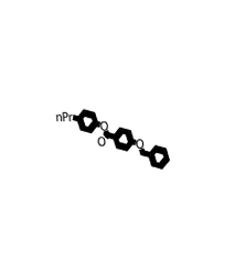 CCCc1ccc(OC(=O)c2ccc(OCc3ccccc3)cc2)cc1